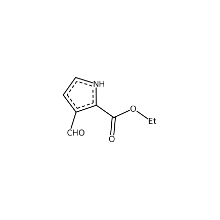 CCOC(=O)c1[nH]ccc1C=O